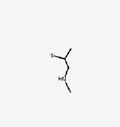 CNCC(C)[S]